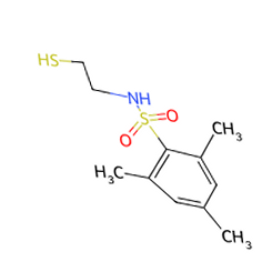 Cc1cc(C)c(S(=O)(=O)NCCS)c(C)c1